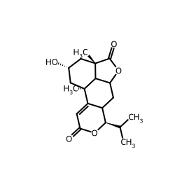 CC(C)[C@H]1OC(=O)C=C2C1CC1OC(=O)[C@@]3(C)C[C@@H](O)C[C@@]2(C)C13